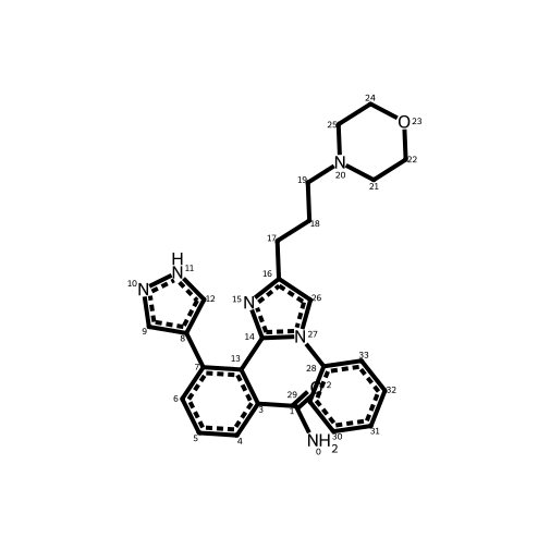 NC(=O)c1cccc(-c2cn[nH]c2)c1-c1nc(CCCN2CCOCC2)cn1-c1ccccc1